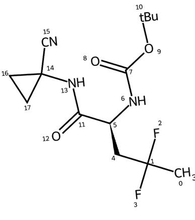 CC(F)(F)C[C@H](NC(=O)OC(C)(C)C)C(=O)NC1(C#N)CC1